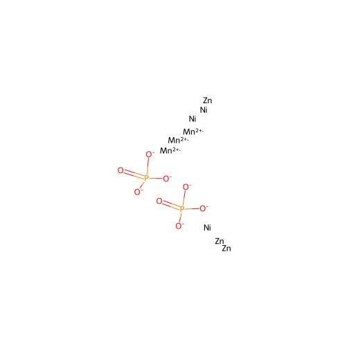 O=P([O-])([O-])[O-].O=P([O-])([O-])[O-].[Mn+2].[Mn+2].[Mn+2].[Ni].[Ni].[Ni].[Zn].[Zn].[Zn]